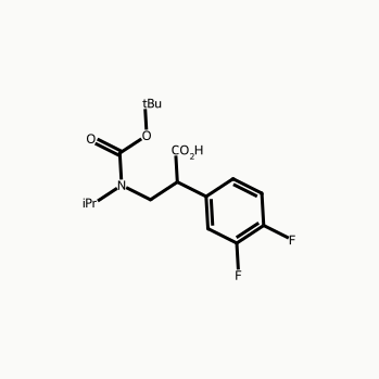 CC(C)N(CC(C(=O)O)c1ccc(F)c(F)c1)C(=O)OC(C)(C)C